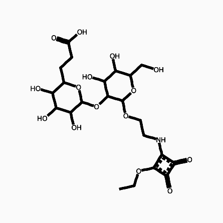 CCOc1c(NCCOC2OC(CO)C(O)C(O)C2OC2OC(CCC(=O)O)C(O)C(O)C2O)c(=O)c1=O